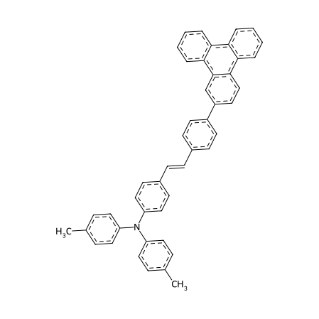 Cc1ccc(N(c2ccc(C)cc2)c2ccc(C=Cc3ccc(-c4ccc5c6ccccc6c6ccccc6c5c4)cc3)cc2)cc1